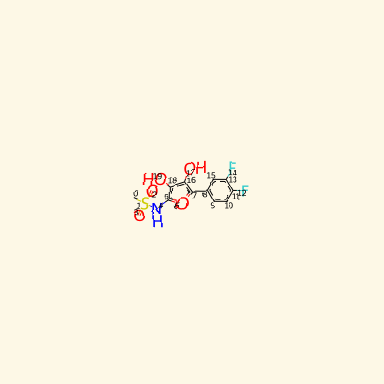 CS(=O)(=O)Nc1oc(-c2ccc(F)c(F)c2)c(O)c1O